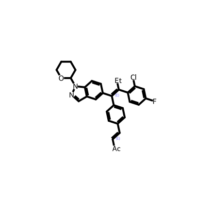 CC/C(=C(/c1ccc(/C=C/C(C)=O)cc1)c1ccc2c(cnn2C2CCCCO2)c1)c1ccc(F)cc1Cl